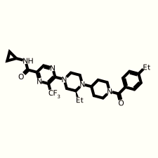 CCc1ccc(C(=O)N2CCC(N3CCN(c4ncc(C(=O)NC5CC5)nc4C(F)(F)F)C[C@@H]3CC)CC2)cc1